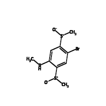 CBc1cc([S+](C)[O-])c(Br)cc1[S+](C)[O-]